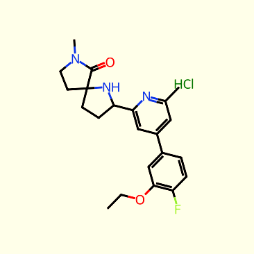 CCOc1cc(-c2cc(C)nc(C3CCC4(CCN(C)C4=O)N3)c2)ccc1F.Cl